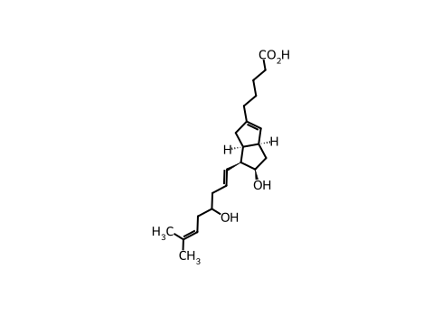 CC(C)=CCC(O)C/C=C/[C@H]1[C@H]2CC(CCCCC(=O)O)=C[C@H]2C[C@H]1O